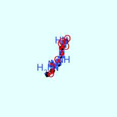 Nc1ncnc2c1c(-c1ccc(Oc3ccccc3)cc1)nn2C1CCCN(C(=O)NCCN2CCN(c3ccc4c(c3)C(=O)N(C3CCC(=O)NC3=O)C4=O)CC2)C1